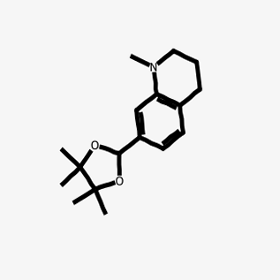 CN1CCCc2ccc(C3OC(C)(C)C(C)(C)O3)cc21